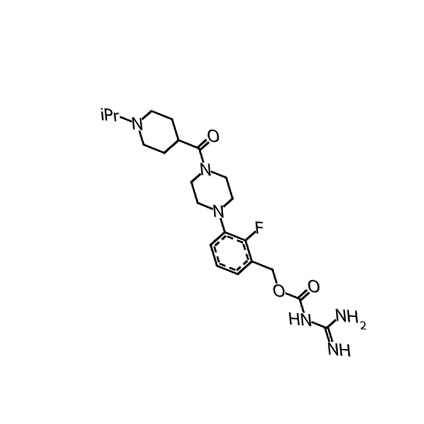 CC(C)N1CCC(C(=O)N2CCN(c3cccc(COC(=O)NC(=N)N)c3F)CC2)CC1